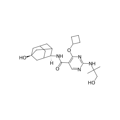 CC(C)(CO)Nc1ncc(C(=O)N[C@H]2C3CC4CC2C[C@@](O)(C4)C3)c(OC2CCC2)n1